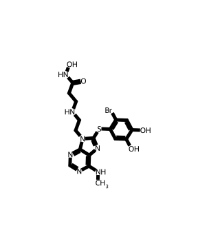 CNc1ncnc2c1nc(Sc1cc(O)c(O)cc1Br)n2CCNCCC(=O)NO